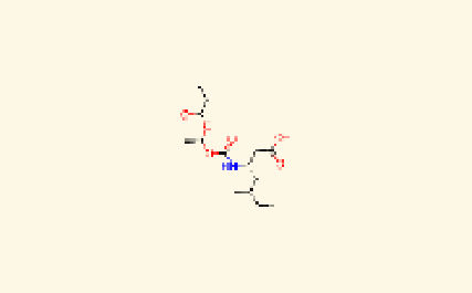 CC[C@@H](C)C[C@@H](CC(=O)O)NC(=O)O[C@@H](C)OC(=O)C(C)C